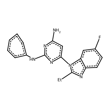 CCc1nc2ccc(F)cc2n1-c1cc(N)nc(Nc2ccccc2)n1